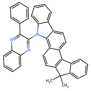 CC1(C)c2ccccc2-c2c1ccc1c2ccc2c3ccccc3n(-c3nc4ccccc4nc3-c3ccccc3)c12